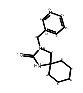 O=C1NC2(CCCCC2)CN1Cc1cccnc1